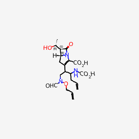 C=CCON(C=O)CC(C1=C(C(=O)O)N2C(=O)[C@H]([C@@H](C)O)[C@H]2C1)C(CC=C)NC(=O)O